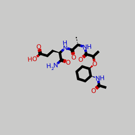 CC(=O)N[C@@H]1CCCC[C@H]1OC(C)C(=O)N[C@@H](C)C(=O)N[C@H](CCC(=O)O)C(N)=O